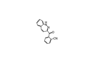 N#Cc1ccccc1C(=O)C1=NNc2ccccc2C=C1